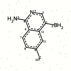 Bc1cnc(N)c2ccc(F)cc12